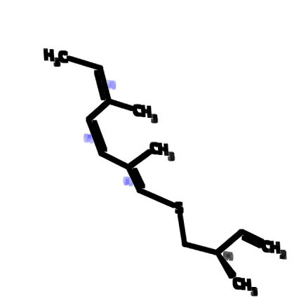 C=C[C@@H](C)CS/C=C(C)/C=C\C(C)=C/C